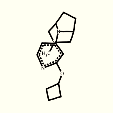 CN1CC2CCC(C1)N2c1ccnc(OC2CCC2)c1